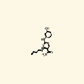 C=CCCNc1nc(N[C@@H]2CCCC(O)C2)ncc1C(N)=O